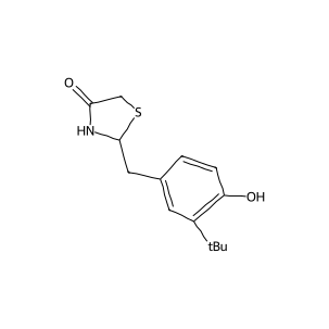 CC(C)(C)c1cc(CC2NC(=O)CS2)ccc1O